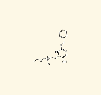 CCOC[PH](=O)C/C=C(\NC(=O)OCc1ccccc1)C(=O)O